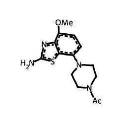 COc1ccc(N2CCN(C(C)=O)CC2)c2sc(N)nc12